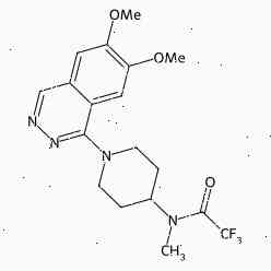 COc1cc2cnnc(N3CCC(N(C)C(=O)C(F)(F)F)CC3)c2cc1OC